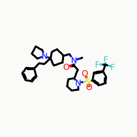 CN(CC1CCC(CCc2ccccc2)(N2CCCC2)CC1)C(=O)CC1CCCCN1S(=O)(=O)c1cccc(C(F)(F)F)c1